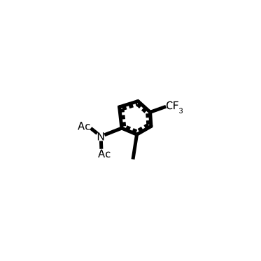 CC(=O)N(C(C)=O)c1ccc(C(F)(F)F)cc1C